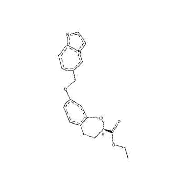 CCOC(=O)[C@H]1CCc2ccc(OCc3ccc4nccn4c3)cc2O1